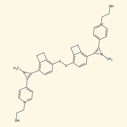 CN1C(c2cc[n+](CCO)cc2)=C1c1ccc(SSc2ccc(C3=C(c4cc[n+](CCO)cc4)N3C)c3c2CC3)c2c1CC2